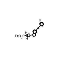 CCOC(=O)[C@H]1[C@@H]2CN(C3CCc4cc(C#Cc5cccc(F)c5)ccc43)C[C@@H]21